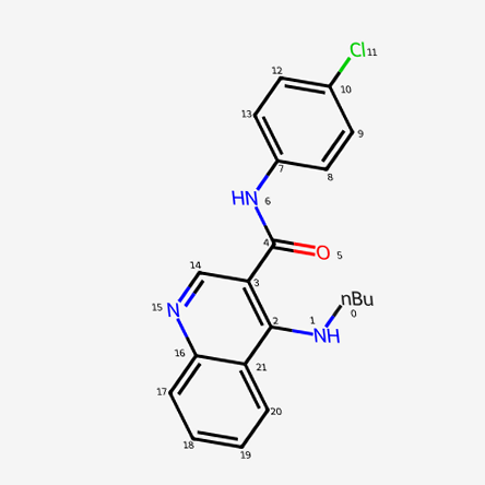 CCCCNc1c(C(=O)Nc2ccc(Cl)cc2)cnc2ccccc12